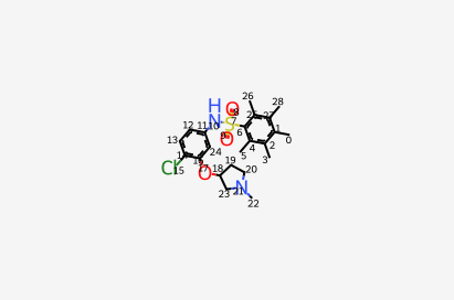 Cc1c(C)c(C)c(S(=O)(=O)Nc2ccc(Cl)c(OC3CCN(C)C3)c2)c(C)c1C